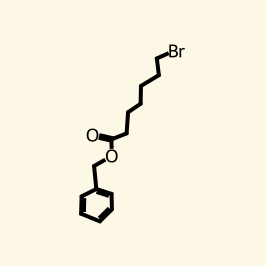 O=C(CCCCCCBr)OCc1ccccc1